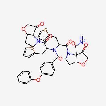 NC(=O)C12C(=O)COC1CCN2C(=O)C(Cc1cccs1)N(C(=O)c1ccc(Oc2ccccc2)cc1)C(Cc1cccs1)C(=O)N1CCC2OCC(=O)C21